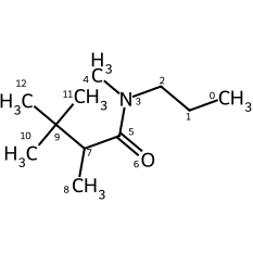 CCCN(C)C(=O)C(C)C(C)(C)C